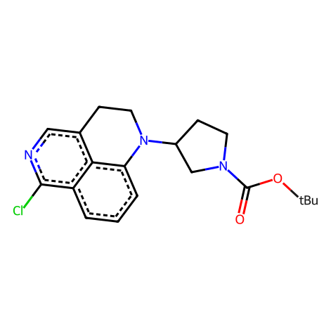 CC(C)(C)OC(=O)N1CCC(N2CCc3cnc(Cl)c4cccc2c34)C1